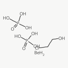 O=P(O)(O)O.O=P(O)(O)O.OCCCl.[BeH2]